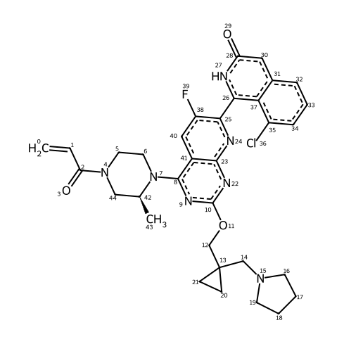 C=CC(=O)N1CCN(c2nc(OCC3(CN4CCCC4)CC3)nc3nc(-c4[nH]c(=O)cc5cccc(Cl)c45)c(F)cc23)[C@@H](C)C1